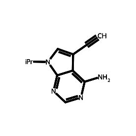 C#Cc1cn(C(C)C)c2ncnc(N)c12